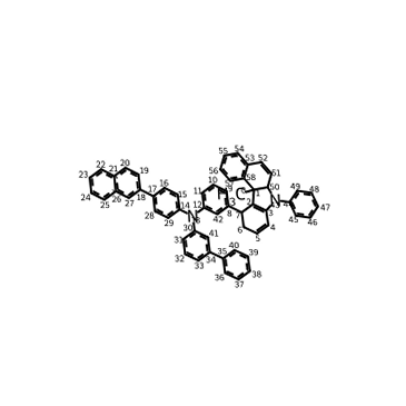 CC12C3=C(C=CCC3c3cccc(N(c4ccc(-c5ccc6ccccc6c5)cc4)c4cccc(-c5ccccc5)c4)c3)N(c3ccccc3)C1C=Cc1ccccc12